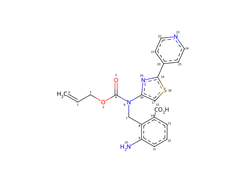 C=CCOC(=O)N(Cc1c(N)cccc1C(=O)O)c1csc(-c2ccncc2)n1